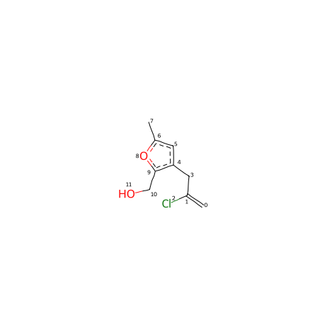 C=C(Cl)Cc1cc(C)oc1CO